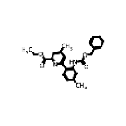 CCOC(=O)c1cc(C)cc(-c2ccc(C)cc2NC(=O)OCc2ccccc2)n1